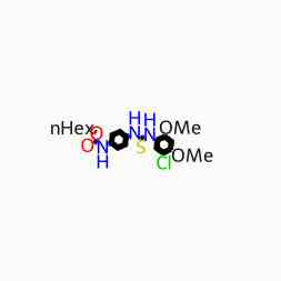 CCCCCCOC(=O)Nc1ccc(NC(=S)Nc2cc(Cl)c(OC)cc2OC)cc1